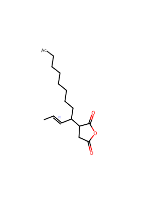 C/C=C/C(CCCCCCCC(C)=O)C1CC(=O)OC1=O